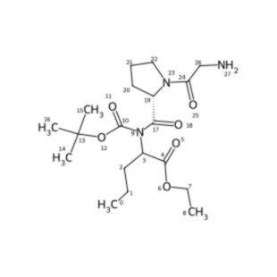 CCCC(C(=O)OCC)N(C(=O)OC(C)(C)C)C(=O)[C@@H]1CCCN1C(=O)CN